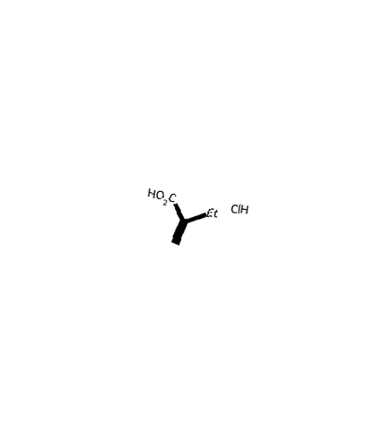 C=C(CC)C(=O)O.Cl